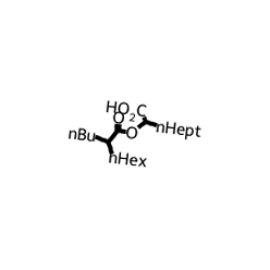 CCCCCCCC(OC(=O)C(CCCC)CCCCCC)C(=O)O